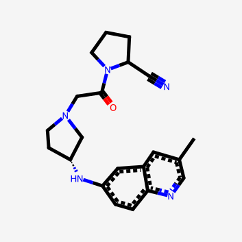 Cc1cnc2ccc(N[C@@H]3CCN(CC(=O)N4CCCC4C#N)C3)cc2c1